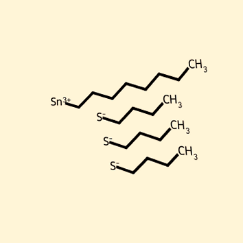 CCCCCCC[CH2][Sn+3].CCCC[S-].CCCC[S-].CCCC[S-]